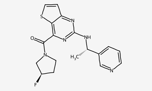 C[C@H](Nc1nc(C(=O)N2CC[C@@H](F)C2)c2sccc2n1)c1cccnc1